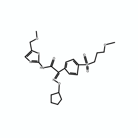 COCCCS(=O)(=O)c1ccc(/C(=N\OC2CCCC2)C(=O)Nc2ncc(COC)s2)cc1